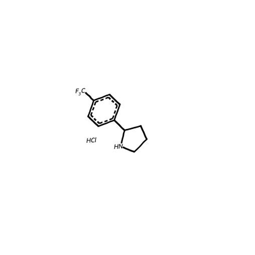 Cl.FC(F)(F)c1ccc(C2CCCN2)cc1